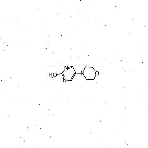 Oc1ncc(N2CCOCC2)cn1